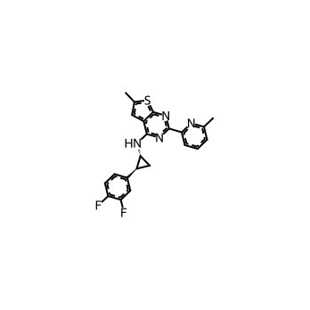 Cc1cccc(-c2nc(N[C@@H]3C[C@H]3c3ccc(F)c(F)c3)c3cc(C)sc3n2)n1